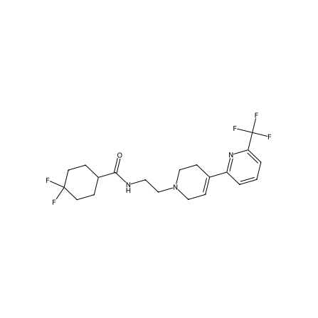 O=C(NCCN1CC=C(c2cccc(C(F)(F)F)n2)CC1)C1CCC(F)(F)CC1